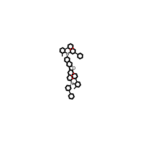 Cc1cccc(-c2ccccc2)c1N(c1cccc(-c2ccccc2)c1)c1ccc2cc3c(cc2c1)oc1cc2cc(N(c4cccc(-c5ccccc5)c4)c4c(C)cccc4-c4ccccc4)ccc2cc13